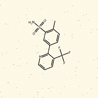 Cc1ccc(-c2ncccc2C(F)(F)F)cc1S(N)(=O)=O